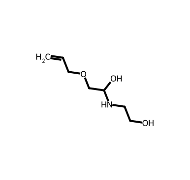 C=CCOCC(O)NCCO